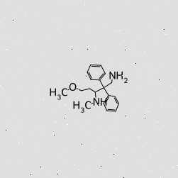 CNC(CCOC)C(CN)(c1ccccc1)c1ccccc1